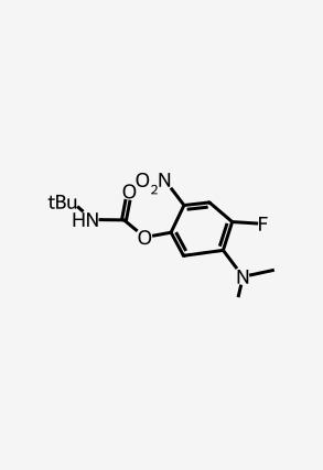 CN(C)c1cc(OC(=O)NC(C)(C)C)c([N+](=O)[O-])cc1F